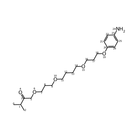 CC(C)C(=O)COCCCOCCCCOCCCOc1ccc(N)cc1